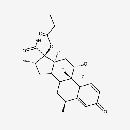 CCC(=O)O[C@]1(C(=O)S)[C@@H](C)CC2C3C[C@H](F)C4=CC(=O)C=C[C@]4(C)[C@@]3(F)[C@@H](O)C[C@@]21C